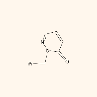 CC(C)Cn1ncccc1=O